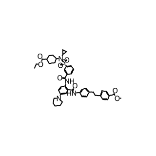 CCOC(=O)C1CCC(N(C2CC2)S(=O)(=O)c2cccc(C(=O)Nc3ccc(N4CCCCC4)cc3C(=O)Nc3ccc(CCc4ccc(C(=O)OC)cc4)cc3)c2)CC1